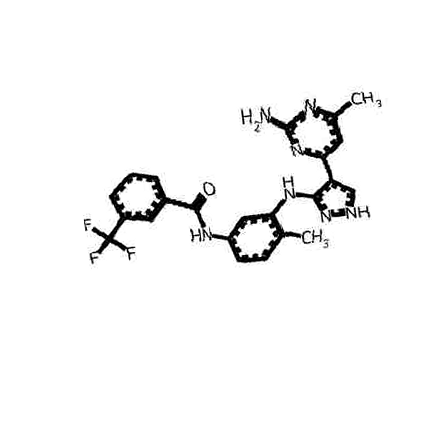 Cc1cc(-c2c[nH]nc2Nc2cc(NC(=O)c3cccc(C(F)(F)F)c3)ccc2C)nc(N)n1